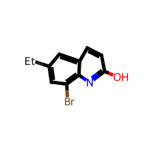 CCc1cc(Br)c2nc(O)ccc2c1